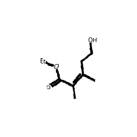 CCOC(=O)C(C)=C(C)CCO